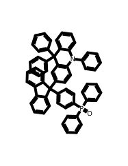 O=P(c1ccccc1)(c1ccccc1)c1ccc(C2(c3ccc4c(c3)C(c3ccccc3)(c3ccccc3)c3ccccc3N4c3ccccc3)c3ccccc3-c3ccccc32)cc1